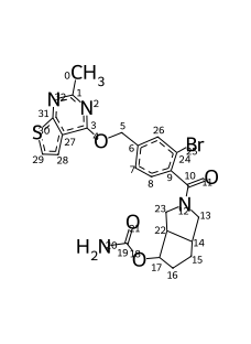 Cc1nc(OCc2ccc(C(=O)N3CC4CCC(OC(N)=O)C4C3)c(Br)c2)c2ccsc2n1